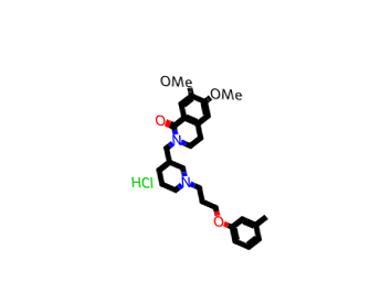 COc1cc2c(cc1OC)C(=O)N(CC1CCCN(CCCOc3cccc(C)c3)C1)CC2.Cl